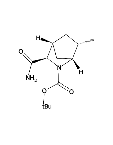 C[C@H]1C[C@@H]2C[C@H]1N(C(=O)OC(C)(C)C)[C@H]2C(N)=O